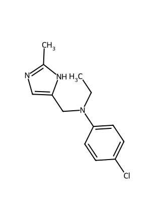 CCN(Cc1cnc(C)[nH]1)c1ccc(Cl)cc1